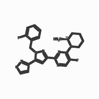 O=C(O)[C@H]1CCCCN1c1nc(-c2cc(-c3ccon3)n(Cc3ccccc3F)n2)ncc1F